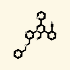 N#Cc1ccccc1C1=CC(c2ccccn2)=CN(c2cncc(COCc3ccccc3)c2)C1C=O